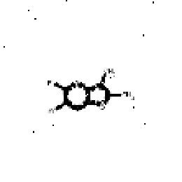 CCc1nc2c(C)c(C)sc2cc1C(C)C